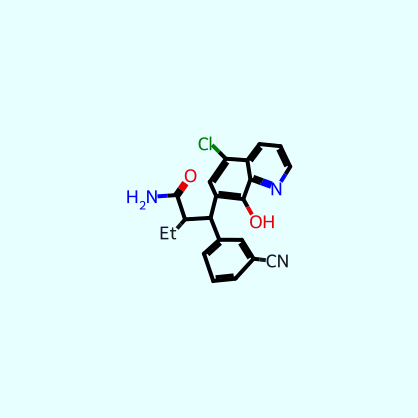 CCC(C(N)=O)C(c1cccc(C#N)c1)c1cc(Cl)c2cccnc2c1O